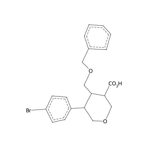 O=C(O)C1COCC(c2ccc(Br)cc2)C1COCc1ccccc1